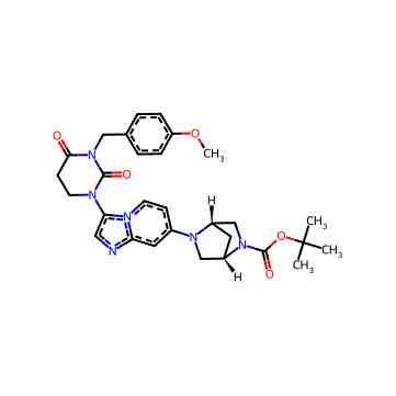 COc1ccc(CN2C(=O)CCN(c3cnc4cc(N5C[C@@H]6C[C@H]5CN6C(=O)OC(C)(C)C)ccn34)C2=O)cc1